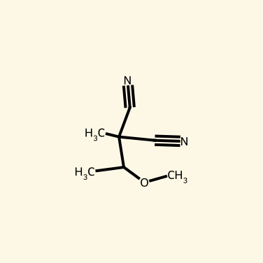 COC(C)C(C)(C#N)C#N